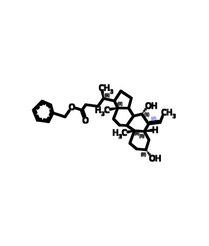 C/C=C1\[C@@H](O)C2C3CCC([C@H](C)CCC(=O)OCc4ccccc4)[C@@]3(C)CCC2[C@@]2(C)CC[C@@H](O)C[C@@H]12